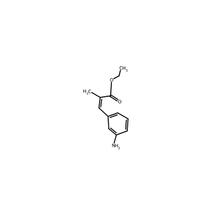 CCOC(=O)C(C)=Cc1cccc(N)c1